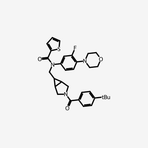 CC(C)(C)c1ccc(C(=O)N2CC3C(C2)C3CN(C(=O)c2cccs2)c2ccc(N3CCOCC3)c(F)c2)cc1